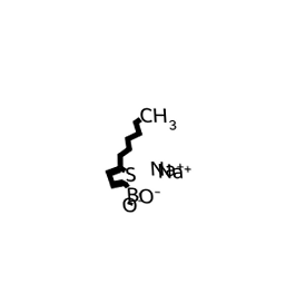 CCCCCCc1ccc(B([O-])[O-])s1.[Na+].[Na+]